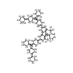 CC1(C)c2cccc3c2-n2c4c1cc(-c1ccc(N(c5ccccc5)c5ccc(-c6ccccc6)cc5)cc1)cc4c1cc(-c4ccc(N(c5ccccc5)c5ccc(-c6ccccc6)cc5)cc4)cc(c12)C3(C)C